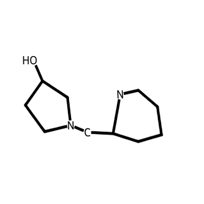 OC1CCN(CC2CCCC[N]2)C1